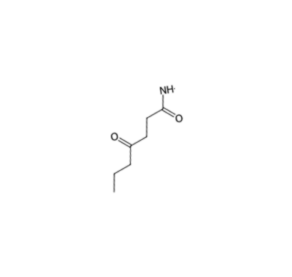 CCCC(=O)CCC([NH])=O